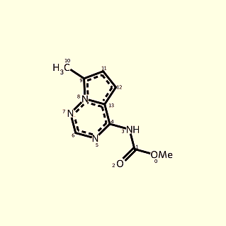 COC(=O)Nc1ncnn2c(C)ccc12